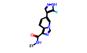 CCNC(=O)c1ncn2cc(-c3cn[nH]c3F)ccc12